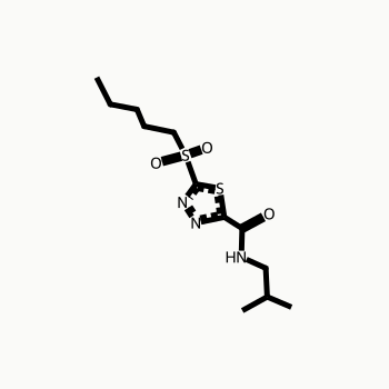 CCCCCS(=O)(=O)c1nnc(C(=O)NCC(C)C)s1